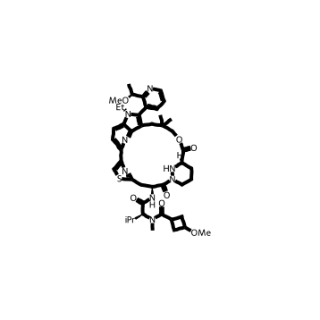 CCn1c(-c2cccnc2[C@H](C)OC)c2c3nc(ccc31)-c1csc(n1)C[C@H](NC(=O)[C@H](C(C)C)N(C)C(=O)C1CC(OC)C1)C(=O)N1CCC[C@H](N1)C(=O)OCC(C)(C)C2